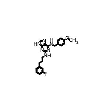 COc1ccc(CNc2nc(NCCCc3cccc(F)c3)nc3[nH]cnc23)cc1